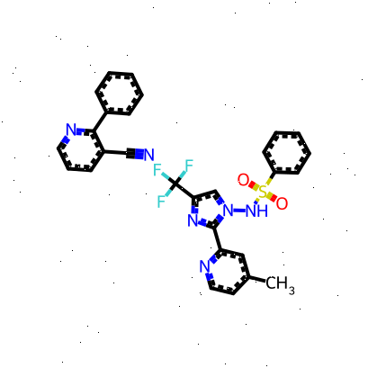 Cc1ccnc(-c2nc(C(F)(F)F)cn2NS(=O)(=O)c2ccccc2)c1.N#Cc1cccnc1-c1ccccc1